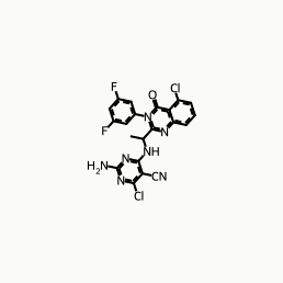 CC(Nc1nc(N)nc(Cl)c1C#N)c1nc2cccc(Cl)c2c(=O)n1-c1cc(F)cc(F)c1